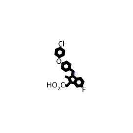 CC1=C(CC(=O)O)c2cc(F)ccc2/C1=C/c1ccc(Oc2ccc(Cl)cc2)cc1